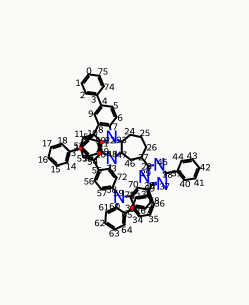 c1ccc(-c2ccc3c(c2)c2cc(-c4ccccc4)ccc2n3C2CCCC(c3nc(-c4ccccc4)nc(-c4ccccc4)n3)CC2n2c3ccccc3c3ccc(-n4c5ccccc5c5ccccc54)cc32)cc1